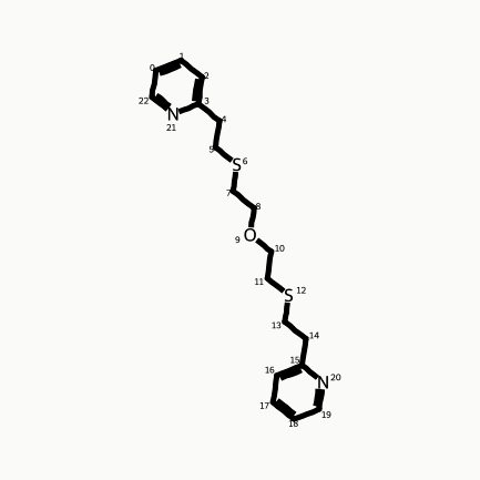 c1ccc(CCSCCOCCSCCc2ccccn2)nc1